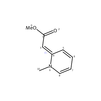 COC(=O)/C=C1\C=CC=CN1C